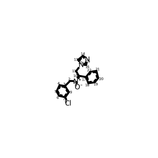 [O-][N+](Cc1cccc(Cl)c1)=C(Cn1ccnc1)c1ccccc1